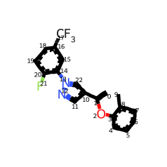 C=C(Oc1ccccc1C)c1cnn(-c2cc(C(F)(F)F)ccc2F)c1